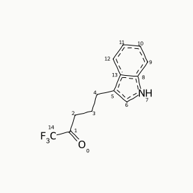 O=C(CCCc1c[nH]c2ccccc12)C(F)(F)F